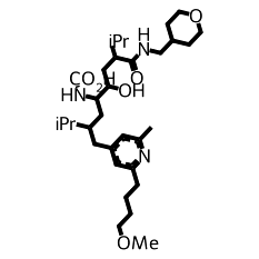 COCCCCc1cc(CC(CC(NC(=O)O)C(O)CC(C(=O)NCC2CCOCC2)C(C)C)C(C)C)cc(C)n1